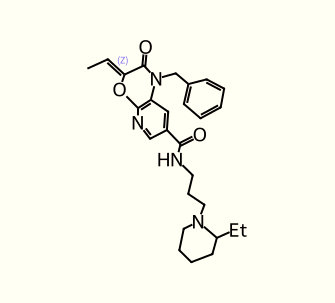 C/C=C1\Oc2ncc(C(=O)NCCCN3CCCCC3CC)cc2N(Cc2ccccc2)C1=O